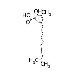 Cc1cc(CCCCCCCCCC(C)C)cc(C(=O)O)c1O